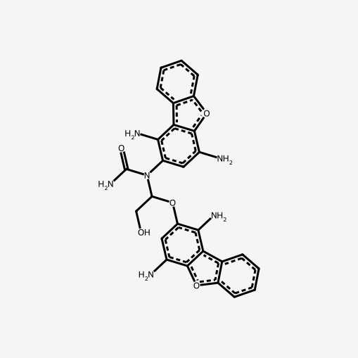 NC(=O)N(c1cc(N)c2oc3ccccc3c2c1N)C(CO)Oc1cc(N)c2oc3ccccc3c2c1N